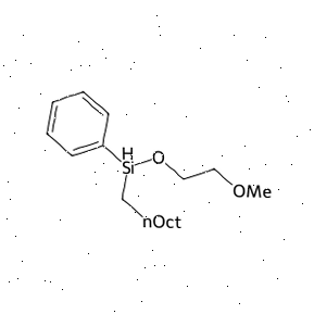 CCCCCCCCC[SiH](OCCOC)c1ccccc1